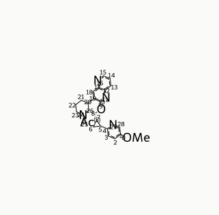 COc1ccc(C2C[C@@H]2COc2nc3cccnc3cc2C2CCCN(C(C)=O)C2)nc1